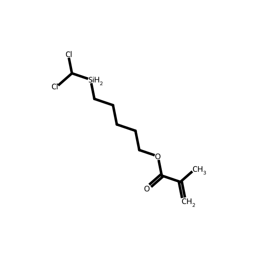 C=C(C)C(=O)OCCCCC[SiH2]C(Cl)Cl